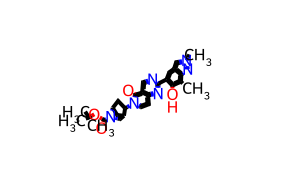 Cc1c(O)c(-c2ncc3c(=O)n(C4CC5CC4CN5C(=O)OC(C)(C)C)ccc3n2)cc2cn(C)nc12